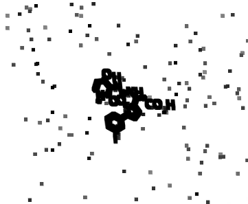 CN1C=CC(=O)C(NC(=O)NC(CC(=O)O)c2ccc(-c3cccc(F)c3)s2)C1=O